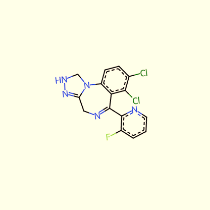 Fc1cccnc1C1=NCC2=NNCN2c2ccc(Cl)c(Cl)c21